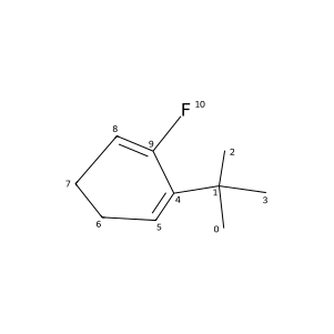 CC(C)(C)C1=CCCC=C1F